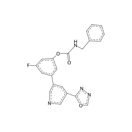 O=C(NCc1ccccc1)Oc1cc(F)cc(-c2cncc(-c3nnco3)c2)c1